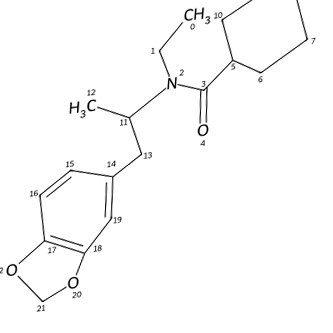 CCN(C(=O)C1CCCCC1)C(C)Cc1ccc2c(c1)OCO2